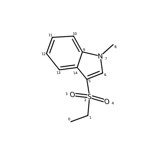 CCS(=O)(=O)c1cn(C)c2ccccc12